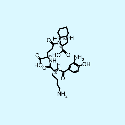 NCCCC[C@H](NC(=O)c1ccc(O)c(N)c1)C(=O)N[C@H](CCC(=O)N1[C@H](C(=O)O)C[C@@H]2CCCC[C@@H]21)C(=O)O